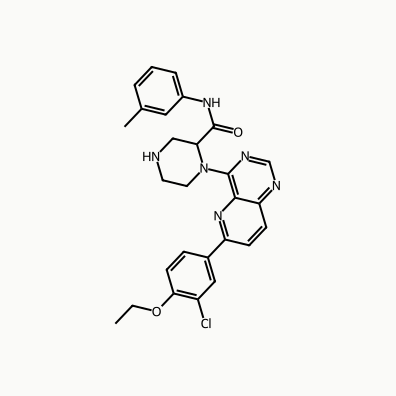 CCOc1ccc(-c2ccc3ncnc(N4CCNCC4C(=O)Nc4cccc(C)c4)c3n2)cc1Cl